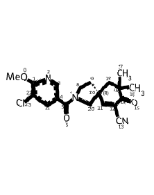 COc1ncc(C(=O)N2CC[C@]3(C=C(C#N)C(=O)C(C)(C)C3)C2)cc1Cl